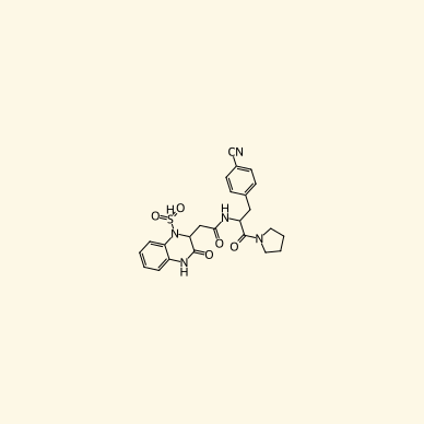 N#Cc1ccc(CC(NC(=O)CC2C(=O)Nc3ccccc3N2[SH](=O)=O)C(=O)N2CCCC2)cc1